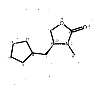 CN1C(=O)OC[C@@H]1CC1CCCC1